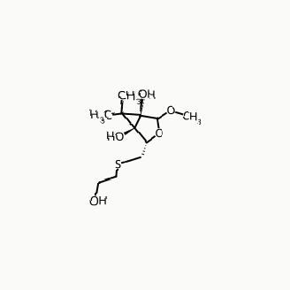 COC1O[C@H](CSCCO)[C@]2(O)C(C)(C)[C@]12O